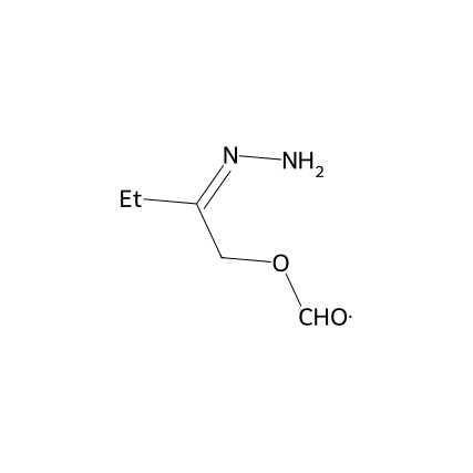 CCC(CO[C]=O)=NN